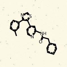 Cc1cccc(-c2ncsc2-c2ccnc(NC(=O)Cc3ccccc3)c2)c1